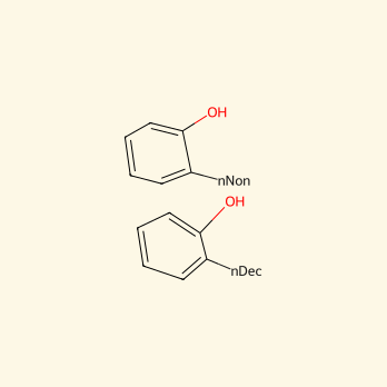 CCCCCCCCCCc1ccccc1O.CCCCCCCCCc1ccccc1O